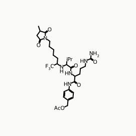 CC(=O)OCc1ccc(NC(=O)C(CCCNC(N)=O)NC(=O)C(NC(CCCCCN2C(=O)CC(C)C2=O)C(F)(F)F)C(C)C)cc1